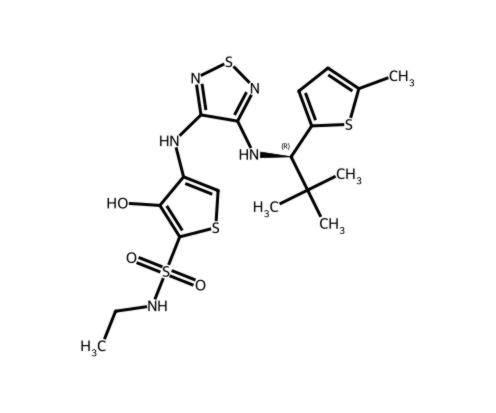 CCNS(=O)(=O)c1scc(Nc2nsnc2N[C@@H](c2ccc(C)s2)C(C)(C)C)c1O